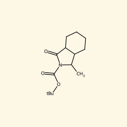 CC1C2CCCCC2C(=O)N1C(=O)OC(C)(C)C